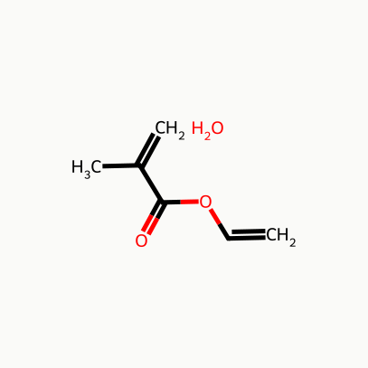 C=COC(=O)C(=C)C.O